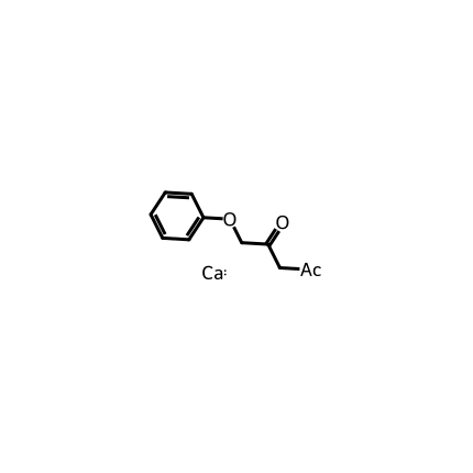 CC(=O)CC(=O)COc1ccccc1.[Ca]